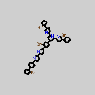 Brc1ccccc1-c1ccc(-c2ccc(-c3ccc(-c4ccc(-c5cc(-c6ccc(-c7ccccc7Br)cn6)nc(-c6ccc(-c7ccccc7Br)cn6)c5)cc4Br)cn3)cn2)cc1